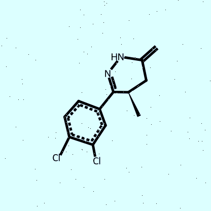 C=C1C[C@@H](C)C(c2ccc(Cl)c(Cl)c2)=NN1